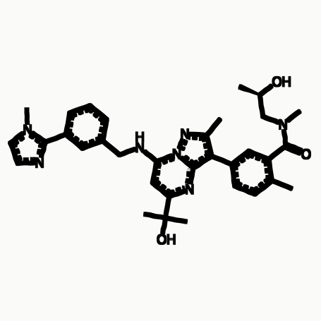 Cc1ccc(-c2c(C)nn3c(NCc4cccc(-c5nccn5C)c4)cc(C(C)(C)O)nc23)cc1C(=O)N(C)C[C@@H](C)O